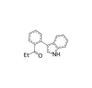 CCC(=O)c1ccccc1-c1c[nH]c2ccccc12